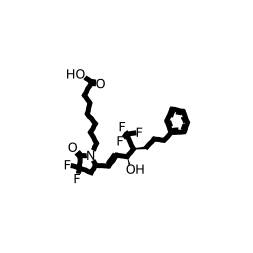 O=C(O)CCCCCCN1C(=O)C(F)(F)CC1C=C[C@@H](O)[C@H](CCCc1ccccc1)C(F)(F)F